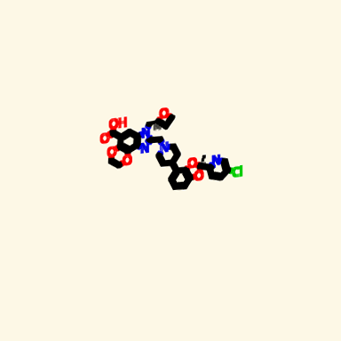 C[C@]1(c2ccc(Cl)cn2)Oc2cccc(C3CCN(Cc4nc5c6c(c(C(=O)O)cc5n4C[C@@H]4CCO4)OCCO6)CC3)c2O1